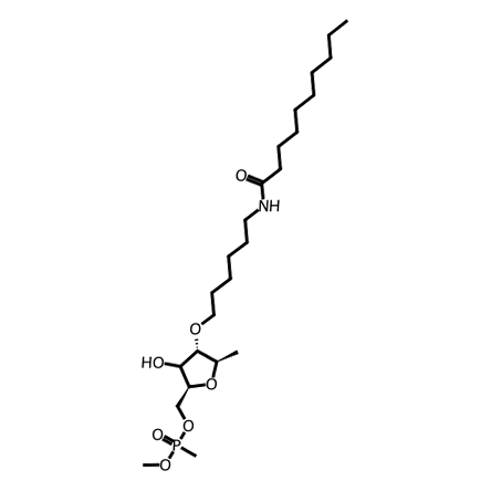 CCCCCCCCCC(=O)NCCCCCCO[C@H]1C(O)[C@H](COP(C)(=O)OC)O[C@@H]1C